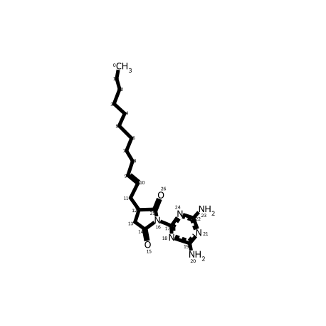 CCCCCCCCCC=CCC1CC(=O)N(c2nc(N)nc(N)n2)C1=O